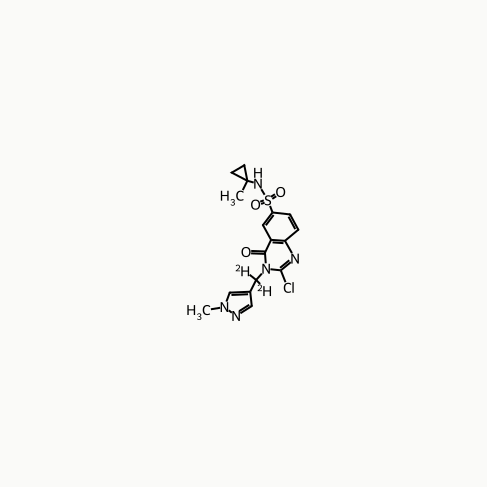 [2H]C([2H])(c1cnn(C)c1)n1c(Cl)nc2ccc(S(=O)(=O)NC3(C)CC3)cc2c1=O